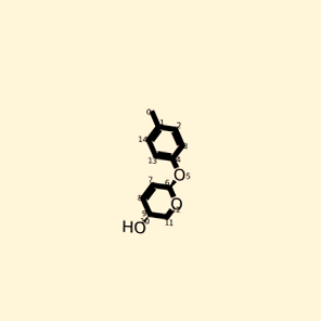 Cc1ccc(O[C@@H]2C=C[C@@H](O)CO2)cc1